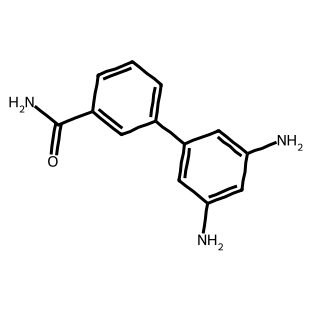 NC(=O)c1cccc(-c2cc(N)cc(N)c2)c1